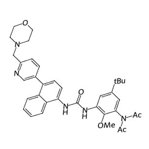 COc1c(NC(=O)Nc2ccc(-c3ccc(CN4CCOCC4)nc3)c3ccccc23)cc(C(C)(C)C)cc1N(C(C)=O)C(C)=O